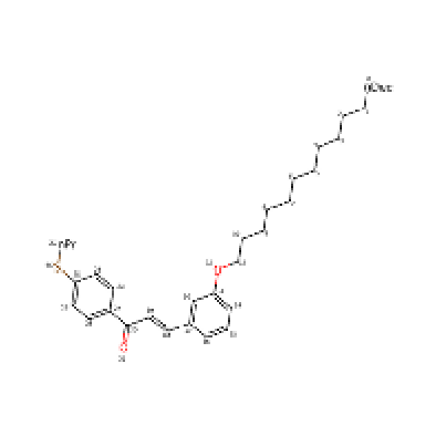 CCCCCCCCCCCCCCCCCCCCCOc1cccc(C=CC(=O)c2ccc(SCCC)cc2)c1